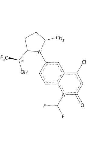 CC1CCC([C@@H](O)C(F)(F)F)N1c1ccc2c(c1)c(Cl)cc(=O)n2C(F)F